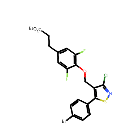 CCOC(=O)CCc1cc(F)c(OCc2c(Cl)nsc2-c2ccc(CC)cc2)c(F)c1